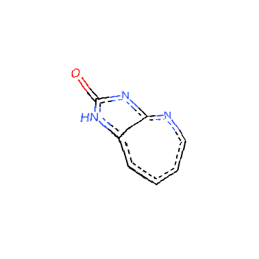 O=c1nc2nccccc-2[nH]1